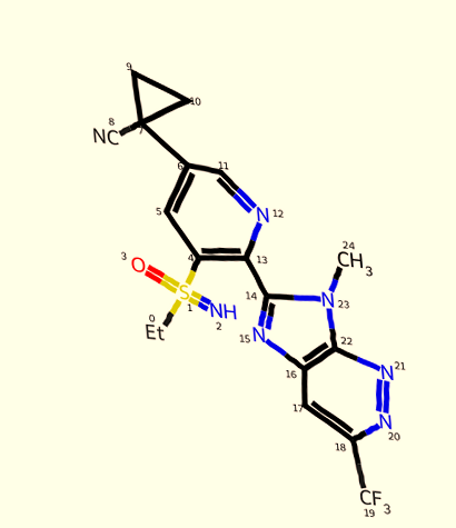 CCS(=N)(=O)c1cc(C2(C#N)CC2)cnc1-c1nc2cc(C(F)(F)F)nnc2n1C